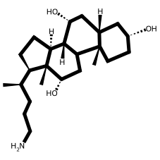 C[C@H](CCCN)[C@H]1CC[C@H]2[C@H]3C(C[C@H](O)[C@]12C)[C@@]1(C)CC[C@@H](O)C[C@H]1C[C@H]3O